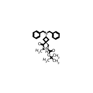 COC(=O)[C@]1(CNC(=O)OC(C)(C)C)C[C@H](N(Cc2ccccc2)Cc2ccccc2)C1